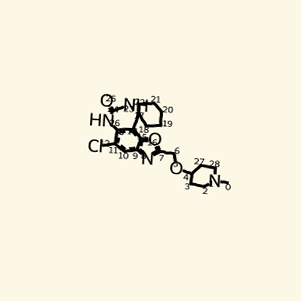 CN1CCC(OCc2nc3cc(Cl)c4c(c3o2)C2(CCCCC2)NC(=O)N4)CC1